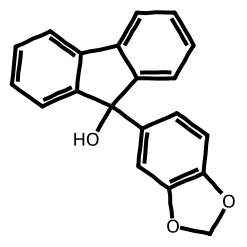 OC1(c2ccc3c(c2)OCO3)c2ccccc2-c2ccccc21